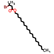 CCCCCCCCCCCCCCCCCCCCOC(=O)CC(C)Br